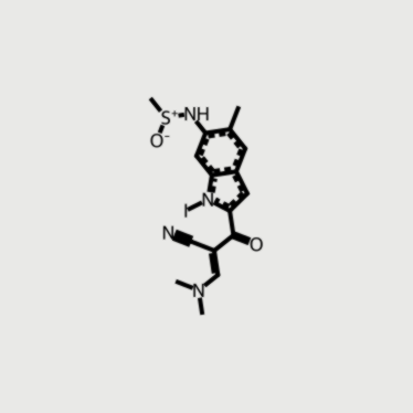 Cc1cc2cc(C(=O)/C(C#N)=C/N(C)C)n(I)c2cc1N[S+](C)[O-]